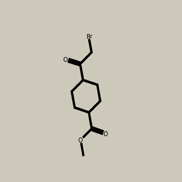 COC(=O)C1CCC(C(=O)CBr)CC1